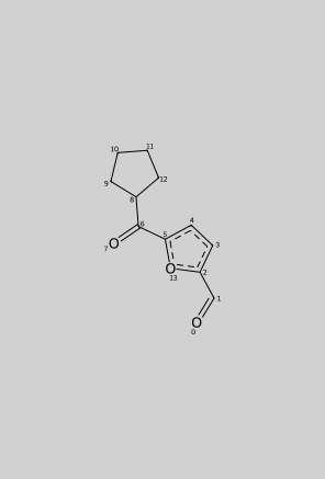 O=Cc1ccc(C(=O)C2CCCC2)o1